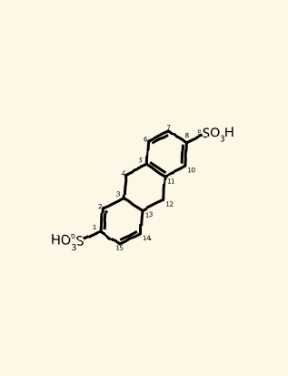 O=S(=O)(O)C1=CC2Cc3ccc(S(=O)(=O)O)cc3CC2C=C1